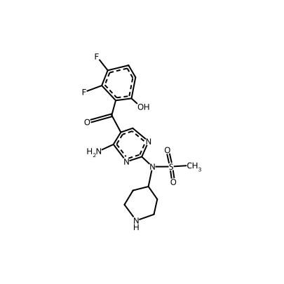 CS(=O)(=O)N(c1ncc(C(=O)c2c(O)ccc(F)c2F)c(N)n1)C1CCNCC1